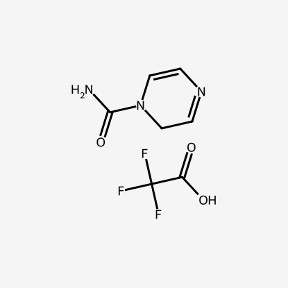 NC(=O)N1C=CN=CC1.O=C(O)C(F)(F)F